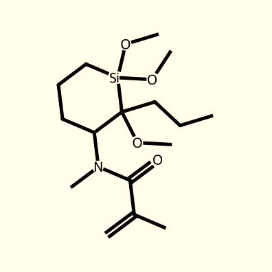 C=C(C)C(=O)N(C)C1CCC[Si](OC)(OC)C1(CCC)OC